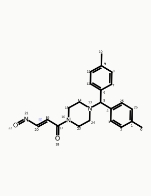 Cc1ccc(C(c2ccc(C)cc2)N2CCN(C(=O)/C=C/N=O)CC2)cc1